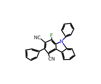 N#Cc1c(-c2ccccc2)c(C#N)c2c3ccccc3n(-c3ccccc3)c2c1F